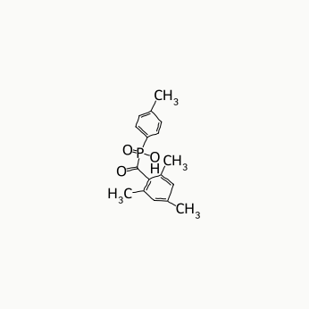 Cc1ccc(P(=O)(O)C(=O)c2c(C)cc(C)cc2C)cc1